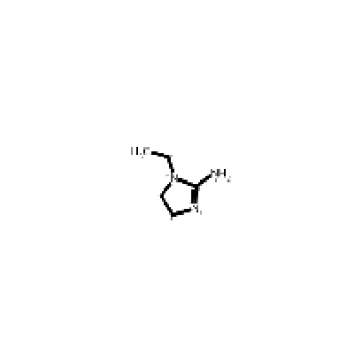 CCN1CCN=C1N